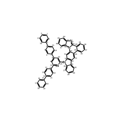 c1ccc(-c2ccc(-c3cc(-c4ccc(-c5ccccc5)cc4)nc(-n4c5ccccc5c5cc6c7ccccc7c7nc8ccccc8n7c6cc54)c3)cc2)cc1